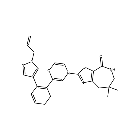 C=CCn1cc(C2=C(C3=CN(c4nc5c(s4)C(=O)NCC(C)(C)C5)C=CO3)CCC=C2)cn1